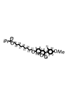 COc1ccc(-c2cc3ccc(OCCCCCCCCCOC(=O)C(C)C)nc3oc2=O)c(C)c1